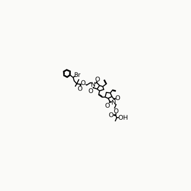 C=CC1CC(/C=C\C2CC(C=C)C3C(=O)N(CCOC(=O)C(C)(C)CC(Br)c4ccccc4)C(=O)C23)C2C(=O)N(CCOC(=O)C(C)O)C(=O)C12